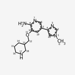 Cn1cnc(-c2cnc(N)c(OCC3CCCNC3)c2)c1